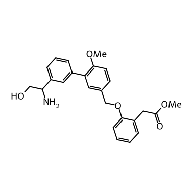 COC(=O)Cc1ccccc1OCc1ccc(OC)c(-c2cccc(C(N)CO)c2)c1